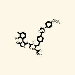 COC(=O)NC(Cc1ccc(-c2ncn(-c3ccc(OC(F)(F)F)cc3)n2)cc1)NC(=S)/N=C1\SCC(=O)N1c1cccc(C)c1C(C)C